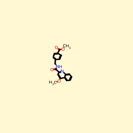 COC(=O)c1ccc(CNC(=O)c2cc(OC)c3ccccc3n2)cc1